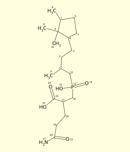 CC(CCC1CCC(C)C1(C)C)CP(=O)(O)CC(CCC(N)=O)C(=O)O